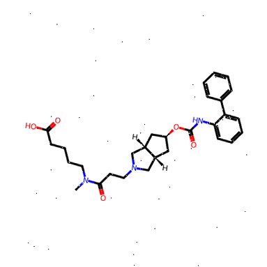 CN(CCCCC(=O)O)C(=O)CCN1C[C@H]2C[C@H](OC(=O)Nc3ccccc3-c3ccccc3)C[C@H]2C1